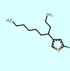 CCCCCCC(CCC)c1csc(F)c1